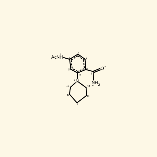 CC(=O)Nc1ccc(C(N)=O)c(N2CCCCC2)c1